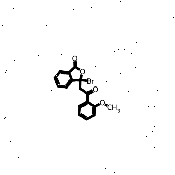 COc1ccccc1C(=O)CC1(Br)OC(=O)c2ccccc21